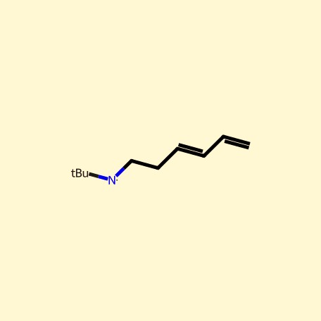 C=C/C=C/CC[N]C(C)(C)C